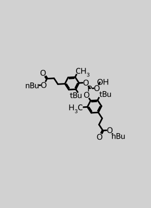 CCCCOC(=O)CCc1cc(C)c(OP(OO)Oc2c(C)cc(CCC(=O)OCCCC)cc2C(C)(C)C)c(C(C)(C)C)c1